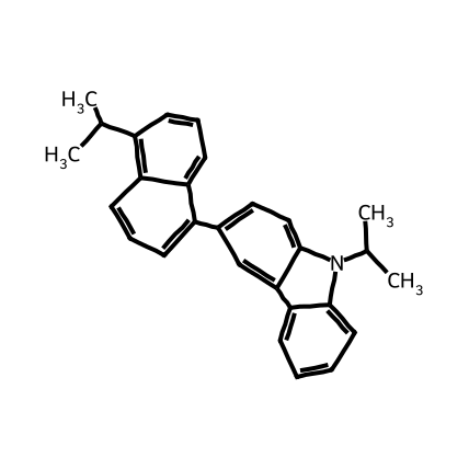 CC(C)c1cccc2c(-c3ccc4c(c3)c3ccccc3n4C(C)C)cccc12